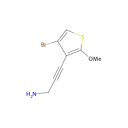 COc1scc(Br)c1C#CCN